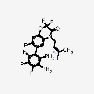 C/C(I)=C\CN1C(=O)C(F)(F)Oc2cc(F)c(-c3c(F)c(F)c(F)c(P)c3P)cc21